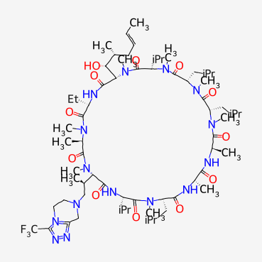 C/C=C/C[C@@H](C)[C@@H](O)[C@H]1C(=O)N[C@@H](CC)C(=O)N(C)[C@H](C)C(=O)N(C)[C@@H]([C@H](C)CN2CCn3c(nnc3C(F)(F)F)C2)C(=O)N[C@@H](C(C)C)C(=O)N(C)[C@@H](CC(C)C)C(=O)N[C@@H](C)C(=O)N[C@H](C)C(=O)N(C)[C@@H](CC(C)C)C(=O)N(C)[C@@H](CC(C)C)C(=O)N(C)[C@@H](C(C)C)C(=O)N1C